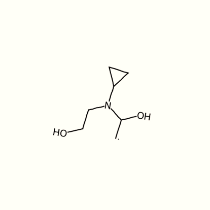 [CH2]C(O)N(CCO)C1CC1